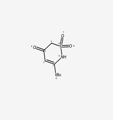 CC(C)(C)C1=CC(=O)CS(=O)(=O)N1